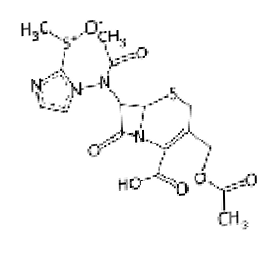 CC(=O)OCC1=C(C(=O)O)N2C(=O)C(N(C(C)=O)n3ccnc3[S+](C)[O-])C2SC1